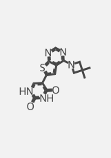 CC1(C)CN(c2ncnc3sc(-c4c[nH]c(=O)[nH]c4=O)cc23)C1